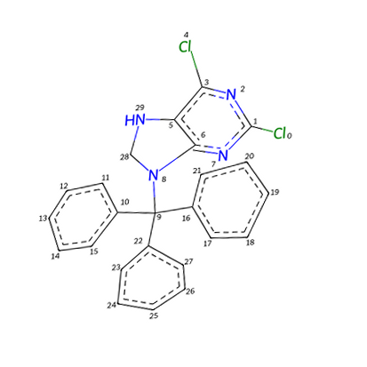 Clc1nc(Cl)c2c(n1)N(C(c1ccccc1)(c1ccccc1)c1ccccc1)CN2